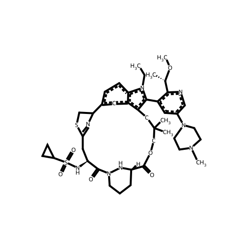 CCn1c(-c2cc(N3CCN(C)CC3)cnc2[C@H](C)OC)c2c3cc(ccc31)C1CSC(=N1)C[C@H](NS(=O)(=O)C1CC1)C(=O)N1CCC[C@H](N1)C(=O)OCC(C)(C)C2